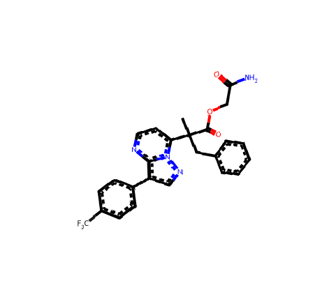 CC(Cc1ccccc1)(C(=O)OCC(N)=O)c1ccnc2c(-c3ccc(C(F)(F)F)cc3)cnn12